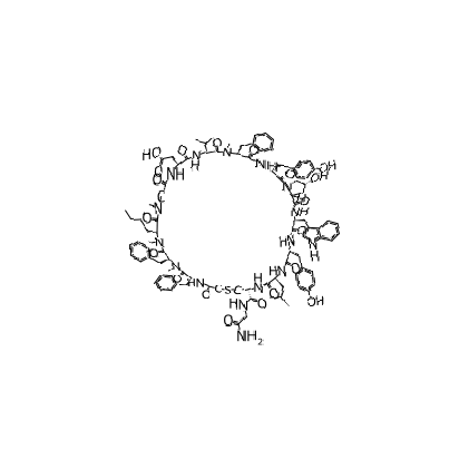 CCCC[C@H]1C(=O)N(C)CC(=O)N[C@@H](CC(=O)O)C(=O)N[C@@H](C(C)C)C(=O)N(C)[C@@H](Cc2ccccc2)C(=O)N[C@@H](Cc2ccc(O)cc2)C(=O)N2C[C@H](O)C[C@@H]2C(=O)N[C@@H](Cc2c[nH]c3ccccc23)C(=O)N[C@@H](Cc2ccc(O)cc2)C(=O)N[C@@H](CC(C)C)C(=O)N[C@H](C(=O)NCC(N)=O)CSCC(=O)N[C@@H](Cc2ccccc2)C(=O)N(C)[C@@H](Cc2ccccc2)C(=O)N1C